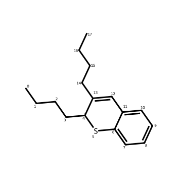 CCCC[C]1Sc2ccccc2C=C1CCCC